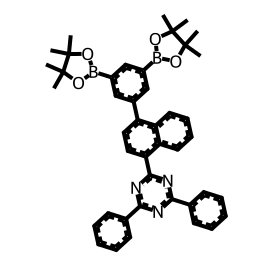 CC1(C)OB(c2cc(B3OC(C)(C)C(C)(C)O3)cc(-c3ccc(-c4nc(-c5ccccc5)nc(-c5ccccc5)n4)c4ccccc34)c2)OC1(C)C